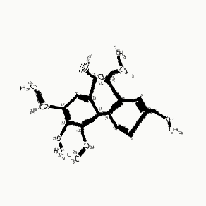 COC(=O)c1cc(OC)ccc1-c1c(CO)cc(OC)c(OC)c1OC